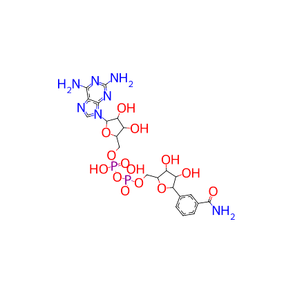 NC(=O)c1cccc(C2OC(COP(=O)(O)OP(=O)(O)OCC3OC(n4cnc5c(N)nc(N)nc54)C(O)C3O)C(O)C2O)c1